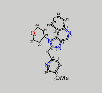 COc1ccc(Cc2nc3cnc4ccccc4c3n2C2CCOCC2)nc1